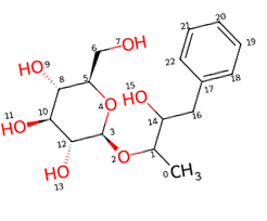 CC(O[C@@H]1O[C@H](CO)[C@@H](O)[C@H](O)[C@H]1O)C(O)Cc1ccccc1